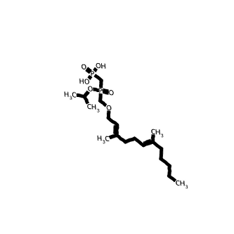 CCCCCC(C)=CCCC(C)=CCOCP(=O)(CP(=O)(O)O)OC(C)C